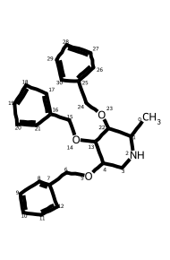 CC1NCC(OCc2ccccc2)C(OCc2ccccc2)C1OCc1ccccc1